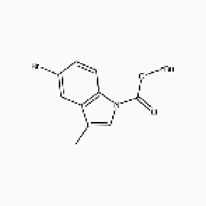 Cc1cn(C(=O)OC(C)(C)C)c2ccc(Br)cc12